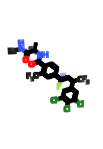 CCNC(=O)[C@@H](C)NC(=O)c1ccc(/C(F)=C/C(c2cc(Cl)c(Cl)c(Cl)c2)C(F)(F)F)cc1C(F)(F)F